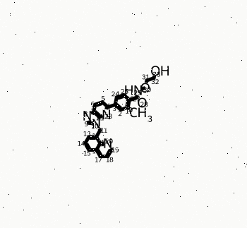 Cc1cc(-c2ccc3ncn(Cc4cccc5cccnc45)c3n2)ccc1C(=O)NOCCO